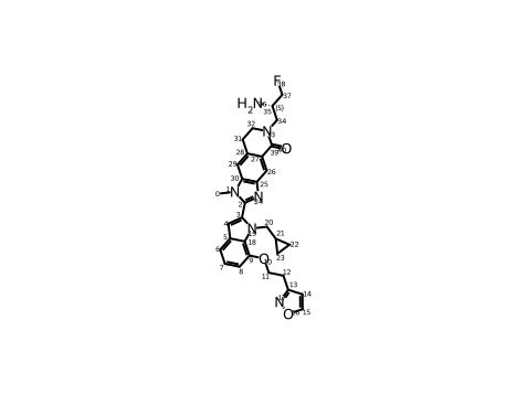 Cn1c(-c2cc3cccc(OCCc4ccon4)c3n2CC2CC2)nc2cc3c(cc21)CCN(C[C@H](N)CF)C3=O